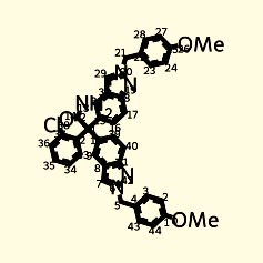 COc1ccc(Cn2cc3cc(C(C(N)=O)(c4ccc5nn(Cc6ccc(OC)cc6)cc5c4)c4ccccc4Cl)ccc3n2)cc1